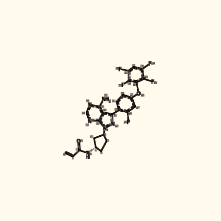 C=CC(=O)N[C@H]1CCC(n2nc(-c3ccc(Oc4c(F)c(F)cc(F)c4F)cc3F)c3c(N)ncnc32)C1